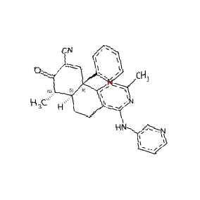 Cc1nc(Nc2cccnc2)c2c(n1)[C@@]1(c3ccccc3)C=C(C#N)C(=O)[C@@H](C)[C@@H]1CC2